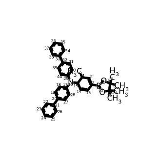 CC1C=C(B2OC(C)(C)C(C)(C)O2)C=CC1N(c1ccc(-c2ccccc2)cc1)c1ccc(-c2ccccc2)cc1